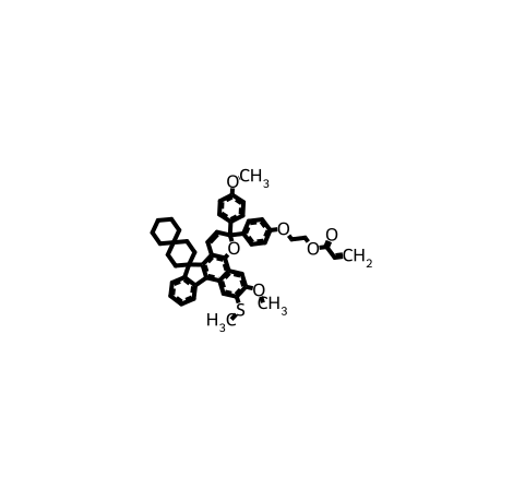 C=CC(=O)OCCOc1ccc(C2(c3ccc(OC)cc3)C=Cc3c4c(c5cc(SC)c(OC)cc5c3O2)-c2ccccc2C42CCC3(CCCCC3)CC2)cc1